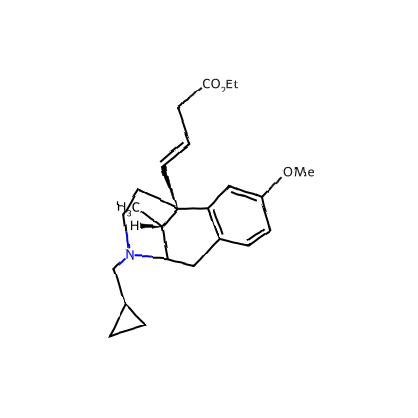 CCOC(=O)C/C=C/[C@@]12CCN(CC3CC3)C(Cc3ccc(OC)cc31)[C@@H]2C